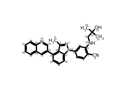 Cc1nn(-c2ccc(C#N)c(NCC(C)(C)O)c2)c2cccc(-c3cnc4ccccc4c3)c12